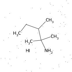 CCC(C)C(C)(C)N.I